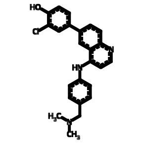 CN(C)Cc1ccc(Nc2ccnc3ccc(-c4ccc(O)c(Cl)c4)cc23)cc1